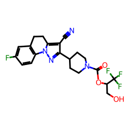 N#Cc1c(C2CCN(C(=O)OC(CO)C(F)(F)F)CC2)nn2c1CCc1cc(F)ccc1-2